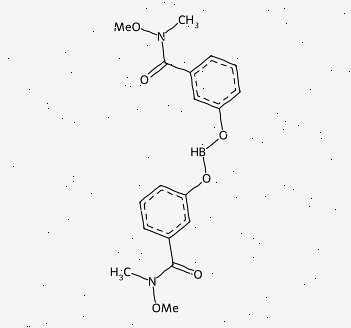 CON(C)C(=O)c1cccc(OBOc2cccc(C(=O)N(C)OC)c2)c1